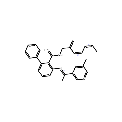 C=C(/C=C\C=C/C)CNC(=N)c1c(/N=C(\C)c2cncc(C)c2)cccc1-c1ccccc1